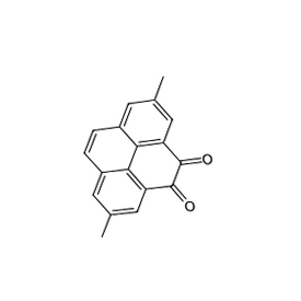 Cc1cc2ccc3cc(C)cc4c(=O)c(=O)c(c1)c2c34